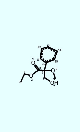 CCOC(=O)C(CO)(OC)c1ccccc1